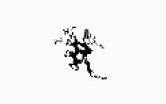 COCCN1C(=O)C(=O)c2c1cc(C)c(C)c2C